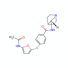 CC(=O)Nc1ccc(Sc2ccc(C(=O)N[C@H]3CN4CCC3CC4)cc2)o1